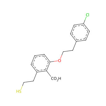 O=C(O)c1c(CCS)cccc1OCCc1ccc(Cl)cc1